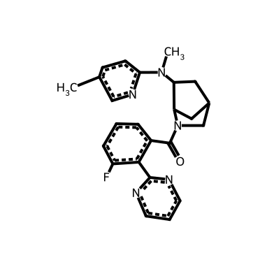 Cc1ccc(N(C)C2CC3CC2N(C(=O)c2cccc(F)c2-c2ncccn2)C3)nc1